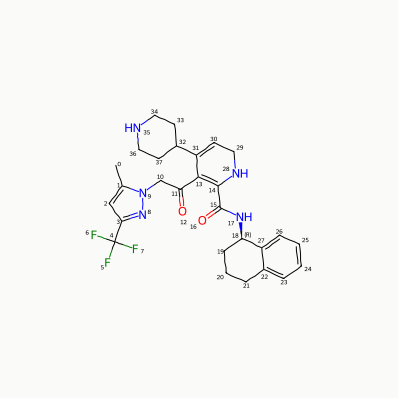 Cc1cc(C(F)(F)F)nn1CC(=O)C1=C(C(=O)N[C@@H]2CCCc3ccccc32)NCC=C1C1CCNCC1